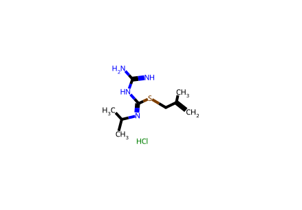 C=C(C)CSC(=NC(C)C)NC(=N)N.Cl